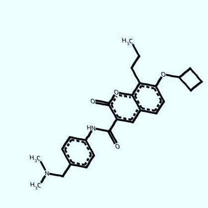 CCCc1c(OC2CCC2)ccc2cc(C(=O)Nc3ccc(CN(C)C)cc3)c(=O)oc12